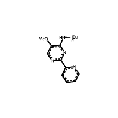 CC[C@H](C)Nc1nc(-c2ccccn2)ncc1OC